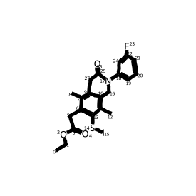 CCOC(=O)Cc1c(C)c2c(c(C)c1SI)CN(c1cccc(F)c1)C(=O)C2